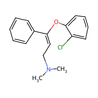 CN(C)CC=C(Oc1ccccc1Cl)c1ccccc1